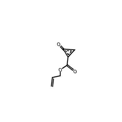 C=CCOC(=O)c1cc1=O